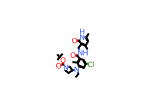 CCN(c1cc(Cl)cc(C(=O)NCc2c(C)cc(C)[nH]c2=O)c1C)C1CCN(C(=O)OC(C)(C)C)C1